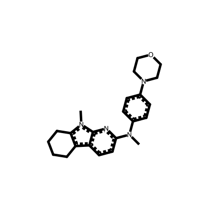 CN(c1ccc(N2CCOCC2)cc1)c1ccc2c3c(n(C)c2n1)CCCC3